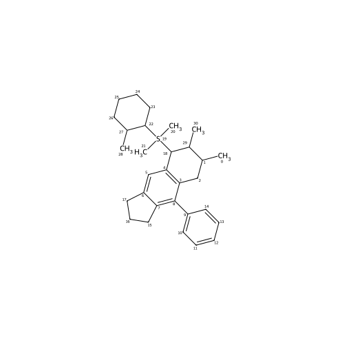 CC1Cc2c(cc3c(c2-c2ccccc2)CCC3)C(S(C)(C)C2CCCCC2C)C1C